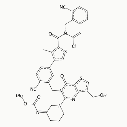 C=C(Cl)N(Cc1ccccc1C#N)C(=O)c1scc(-c2ccc(C#N)c(Cn3c(N4CCC/C(=N/C(=O)OC(C)(C)C)C4)nc4c(CO)csc4c3=O)c2)c1C